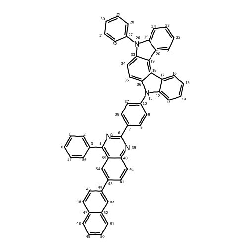 c1ccc(-c2nc(-c3ccc(-n4c5ccccc5c5c6c7ccccc7n(-c7ccccc7)c6ccc54)cc3)nc3ccc(-c4ccc5ccccc5c4)cc23)cc1